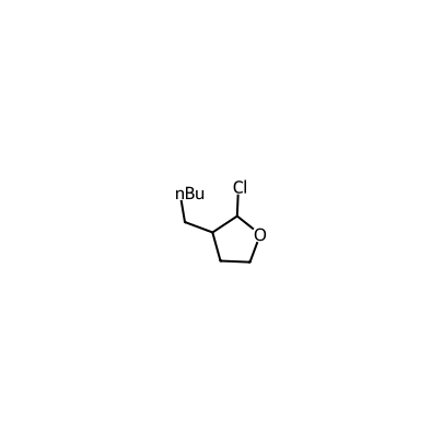 CCCCCC1CCOC1Cl